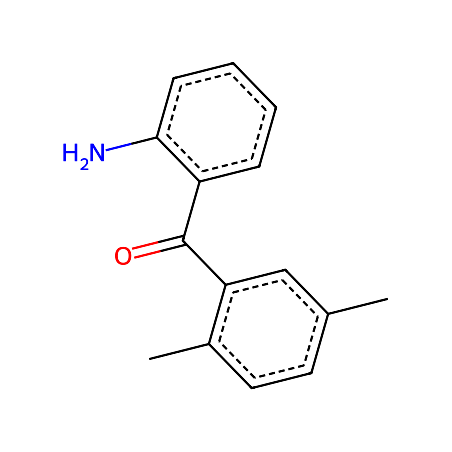 Cc1ccc(C)c(C(=O)c2ccccc2N)c1